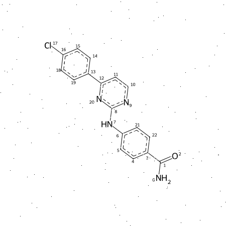 NC(=O)c1ccc(Nc2nccc(-c3ccc(Cl)cc3)n2)cc1